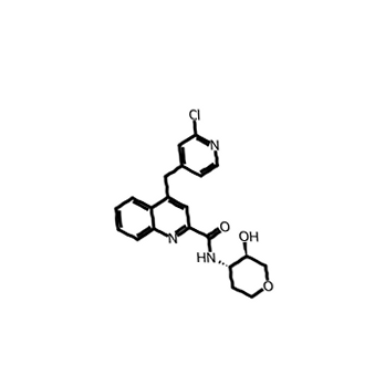 O=C(N[C@H]1CCOC[C@@H]1O)c1cc(Cc2ccnc(Cl)c2)c2ccccc2n1